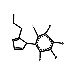 CCCC1=CC=C[C]1c1c(F)c(F)c(F)c(F)c1F